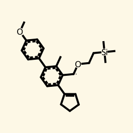 COc1ccc(-c2ccc(C3=CCCC3)c([CH]OCC[Si](C)(C)C)c2C)cc1